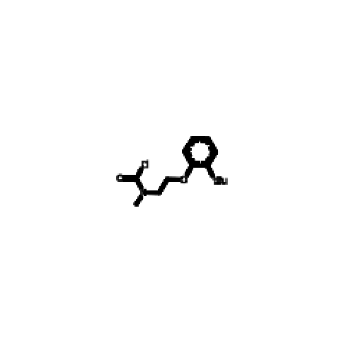 CN(CCOc1ccccc1C(C)(C)C)C(=O)Cl